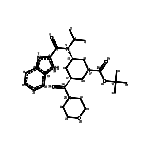 CC(C)N(C(=O)c1nc2ccccc2[nH]1)[C@H]1C[C@@H](C(=O)N2CCOCC2)CN(C(=O)OC(C)(C)C)C1